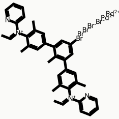 CC=[N+](c1ccccn1)c1c(C)cc(-c2cc(Br)cc(-c3cc(C)c([N+](=CC)c4ccccn4)c(C)c3)c2C)cc1C.[Br-].[Br-].[Br-].[Br-].[Pd+2].[Pd+2]